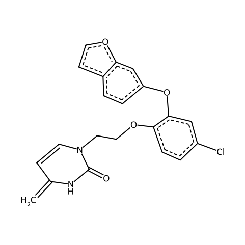 C=C1C=CN(CCOc2ccc(Cl)cc2Oc2ccc3ccoc3c2)C(=O)N1